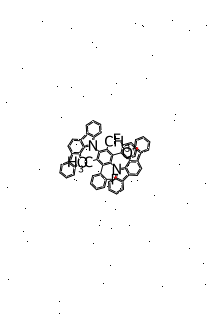 Cc1c(-c2ccccc2F)c(-n2c3ccccc3c3ccc4c5ccccc5oc4c32)c(-c2ccccc2F)c(C)c1-n1c2ccccc2c2ccc3c4ccccc4oc3c21